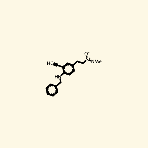 C#Cc1cc(CC[S+]([O-])NC)ccc1NCc1ccccc1